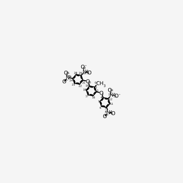 Cc1c(Oc2ccc([N+](=O)[O-])cc2[N+](=O)[O-])cccc1Oc1ccc([N+](=O)[O-])cc1[N+](=O)[O-]